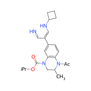 CC(=O)N1c2ccc(/C(C=N)=C/NC3CCC3)cc2N(C(=O)OC(C)C)CC1C